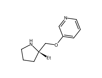 CC[C@@]1(COc2cccnc2)CCCN1